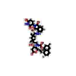 C[C@H]1C=C2C=C[C@H](C)[C@H](CC[C@@H]3C[C@@H](O)CC(=O)O3)[C@H]2[C@@H](OC(=O)NCCC(C)(C)CC(C)(C)CNc2cccc3c2C(O)N(C2CCC(=O)NC2=O)C3=O)C1